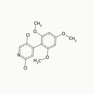 COc1cc(OC)c(-c2cc(Cl)ncc2Cl)c(OC)c1